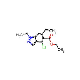 CCOC(=O)c1c(CC)cc2c(cnn2CC)c1Cl